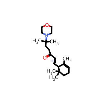 CC1=CCCC(C)(C)C1/C=C/C(=O)CCC(C)(C)N1CCOCC1